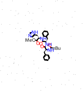 CCCCC(=O)N[C@@H](Cc1ccccc1)C(=O)N[C@@H](Cc1ccccc1)C(=O)N[C@@H](Cc1cnc[nH]1)C(=O)OC